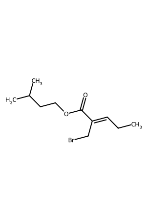 CCC=C(CBr)C(=O)OCCC(C)C